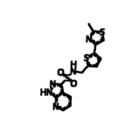 Cc1nc(-c2ccc(CNS(=O)(=O)c3n[nH]c4ncccc34)s2)cs1